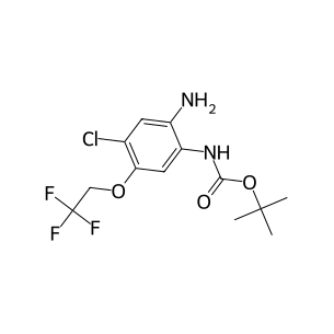 CC(C)(C)OC(=O)Nc1cc(OCC(F)(F)F)c(Cl)cc1N